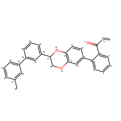 COC(=O)c1ccccc1-c1ccc2c(c1)OCC(c1cccc(-c3cccc(C)c3)c1)O2